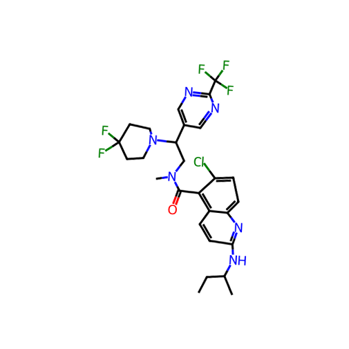 CCC(C)Nc1ccc2c(C(=O)N(C)CC(c3cnc(C(F)(F)F)nc3)N3CCC(F)(F)CC3)c(Cl)ccc2n1